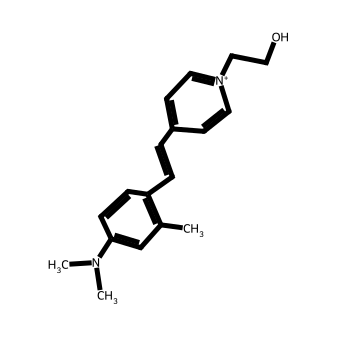 Cc1cc(N(C)C)ccc1C=Cc1cc[n+](CCO)cc1